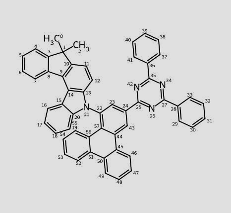 CC1(C)c2ccccc2-c2c1ccc1c2c2ccccc2n1-c1cc(-c2nc(-c3ccccc3)nc(-c3ccccc3)n2)cc2c3ccccc3c3ccccc3c12